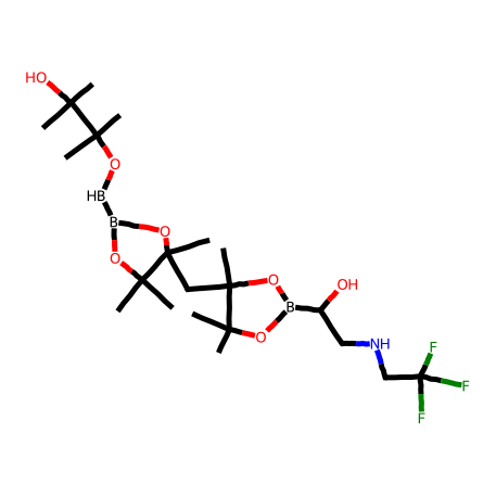 CC(C)(O)C(C)(C)OBB1OC(C)(C)C(C)(CC2(C)OB(C(O)CNCC(F)(F)F)OC2(C)C)O1